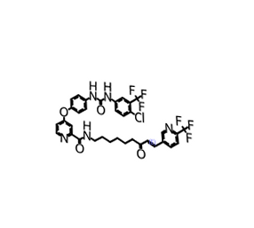 O=C(/C=C/c1ccc(C(F)(F)F)nc1)CCCCCCNC(=O)c1cc(Oc2ccc(NC(=O)Nc3ccc(Cl)c(C(F)(F)F)c3)cc2)ccn1